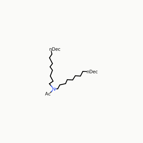 [CH2]C(=O)N(CCCCCCCCCCCCCCCCCC)CCCCCCCCCCCCCCCCCC